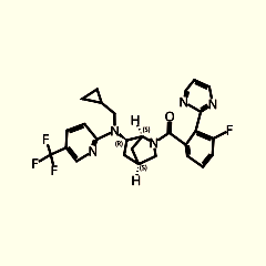 O=C(c1cccc(F)c1-c1ncccn1)N1C[C@H]2C[C@@H](N(CC3CC3)c3ccc(C(F)(F)F)cn3)[C@@H]1C2